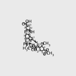 COc1cc(S(C)(=O)=O)ccc1N(CC#Cc1cc2c(N[C@@H]3CCN(C(=O)O)C[C@@H]3F)cccc2n1CC(F)(F)F)C(=O)OC(C)(C)C